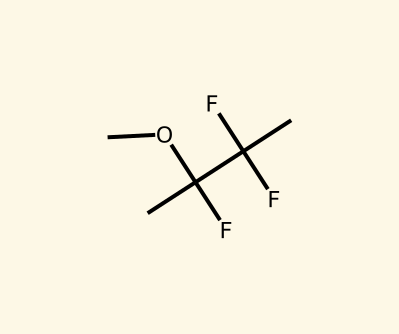 COC(C)(F)C(C)(F)F